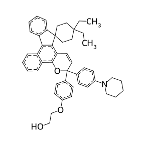 CCC1(CC)CCC2(CC1)c1ccccc1-c1c2c2c(c3ccccc13)OC(c1ccc(OCCO)cc1)(c1ccc(N3CCCCC3)cc1)C=C2